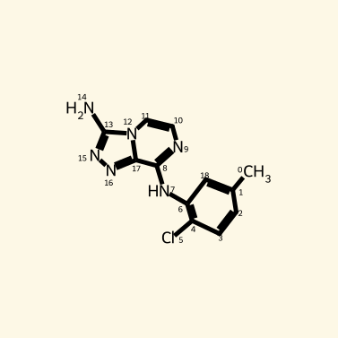 Cc1ccc(Cl)c(Nc2nccn3c(N)nnc23)c1